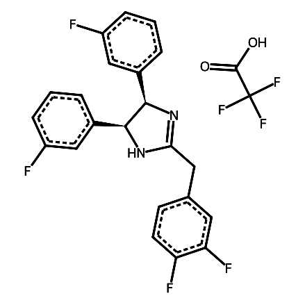 Fc1cccc([C@H]2N=C(Cc3ccc(F)c(F)c3)N[C@H]2c2cccc(F)c2)c1.O=C(O)C(F)(F)F